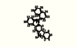 Cn1c2ccccc2c2cc3c(cc21)c1ccccc1n3-c1cccc2ccccc12